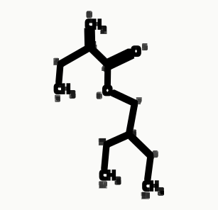 C=C(CC)C(=O)OCC(CC)CC